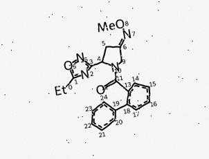 CCc1nc(C2CC(=NOC)CN2C(=O)c2ccccc2-c2ccccc2)no1